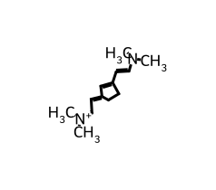 CN(C)/C=C/C1=CC(=C/C=[N+](C)C)/CC1